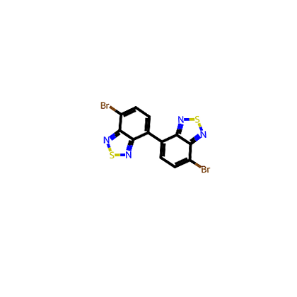 Brc1ccc(-c2ccc(Br)c3nsnc23)c2nsnc12